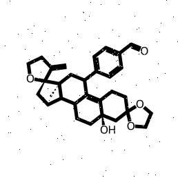 C=C1CCO[C@]12CCC1C3CC[C@@]4(O)CC5(CCC4=C3C(c3ccc(C=O)cc3)C[C@@]12C)OCCO5